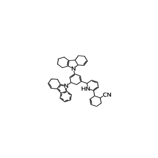 N#CC1CCC=CC1C1=CC=CC(C2=CC(N3C4=C(CCCC4)C4CCC=CC43)=CC(n3c4c(c5ccccc53)C=CCC4)C2)N1